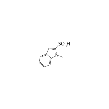 Cn1c(S(=O)(=O)O)cc2ccccc21